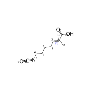 C/C(=C\CCCCN=C=O)C(=O)O